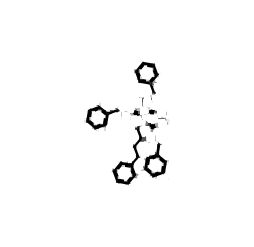 O=C(OCc1ccccc1)S(CCCCc1ccccc1)(C(=O)OCc1ccccc1)C(=O)OCc1ccccc1